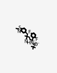 Cc1nc2cc(CC(C)(C#N)CC[C@](C)(N[S@+]([O-])C(C)(C)C)c3cc(F)ccc3F)ccc2s1